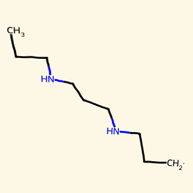 [CH2]CCNCCCNCCC